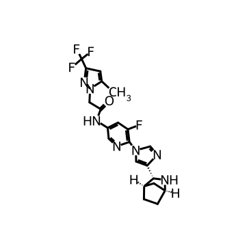 Cc1cc(C(F)(F)F)nn1CC(=O)Nc1cnc(-n2cnc([C@@H]3N[C@H]4CC[C@@H]3C4)c2)c(F)c1